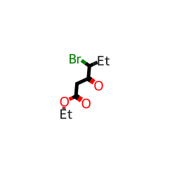 CCOC(=O)CC(=O)C(Br)CC